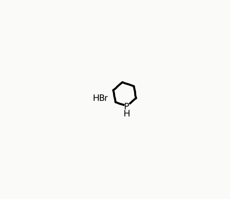 Br.C1CCPCC1